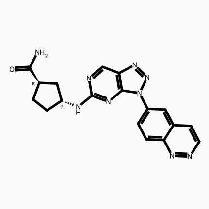 NC(=O)[C@@H]1CC[C@@H](Nc2ncc3nnn(-c4ccc5nnccc5c4)c3n2)C1